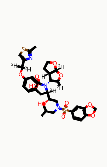 [2H]C1O[C@@]2([2H])OCC[C@H]2[C@H]1N(C(=O)O)[C@@]([2H])(Cc1ccc(OC([2H])([2H])c2csc(C)n2)cc1)[C@H](O)CN(CC(C)C)S(=O)(=O)c1ccc2c(c1)OCO2